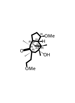 COCC[C@]1(C)C[C@@H](O)[C@]2(C)[C@H](C)CC[C@]3(CC[C@@H](OC)[C@@H]32)[C@@H](C)C1=O